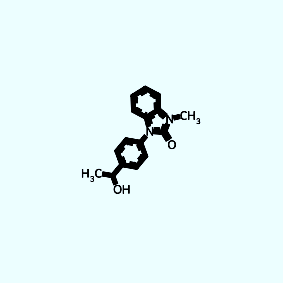 CC(O)c1ccc(-n2c(=O)n(C)c3ccccc32)cc1